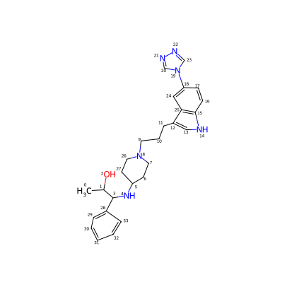 CC(O)C(NC1CCN(CCCc2c[nH]c3ccc(-n4cnnc4)cc23)CC1)c1ccccc1